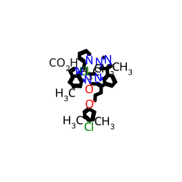 Cc1cc(N2C(=O)c3c(CCCOc4cc(C)c(Cl)c(C)c4)c4cccc(-c5c(C)ncnc5C)c4n3[C@H](C)C2Cl)c2c(c1)cc(C(=O)O)n2Cc1ccccn1